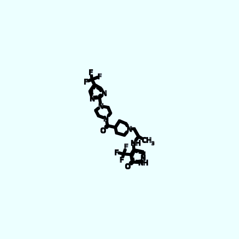 CC(CN1CCC(C(=O)N2CCN(c3ncc(C(F)(F)F)cn3)CC2)CC1)Nc1cn[nH]c(=O)c1C(F)(F)F